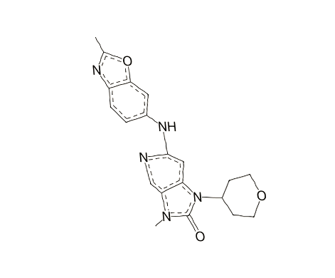 Cc1nc2ccc(Nc3cc4c(cn3)n(C)c(=O)n4C3CCOCC3)cc2o1